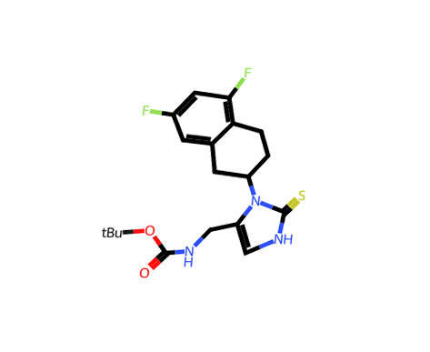 CC(C)(C)OC(=O)NCc1c[nH]c(=S)n1C1CCc2c(F)cc(F)cc2C1